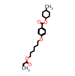 C=CC(=O)OCCCCCCOc1ccc(C(=O)OC2CCC(C)CC2)cc1